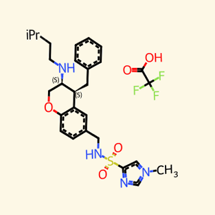 CC(C)CCN[C@@H]1COc2ccc(CNS(=O)(=O)c3cn(C)cn3)cc2[C@@H]1Cc1ccccc1.O=C(O)C(F)(F)F